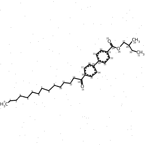 CCCCCCCCCCCCCCC(=O)c1ccc(-c2ccc(C(=O)OCC(C)CC)cc2)cc1